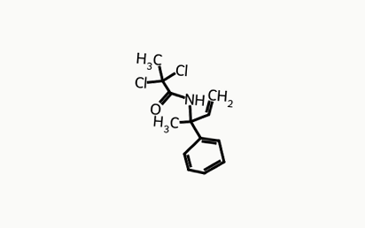 C=CC(C)(NC(=O)C(C)(Cl)Cl)c1ccccc1